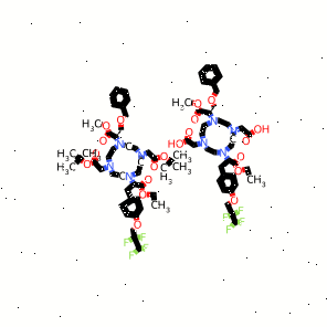 CCOC(=O)C(Cc1ccc(OCC(F)(F)C(F)F)cc1)N1CCN(CC(=O)O)CCN([C@@H](COCc2ccccc2)C(=O)OC)CCN(CC(=O)O)CC1.CCOC(=O)C(Cc1ccc(OCC(F)(F)C(F)F)cc1)N1CCN(CC(=O)OC(C)(C)C)CCN([C@@H](COCc2ccccc2)C(=O)OC)CCN(CC(=O)OC(C)(C)C)CC1